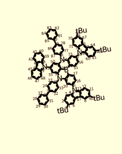 CC(C)(C)c1ccc2c(c1)c1cc(C(C)(C)C)ccc1n2-c1ccc2c(c1)N(c1ccc(-c3ccccc3)cc1)c1cc(-n3c4ccccc4c4ccccc43)cc3c1B2c1ccc(-n2c4ccc(C(C)(C)C)cc4c4cc(C(C)(C)C)ccc42)cc1N3c1ccc(-c2ccccc2)cc1